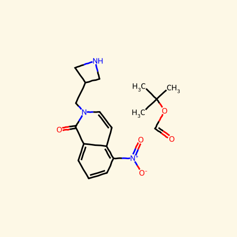 CC(C)(C)OC=O.O=c1c2cccc([N+](=O)[O-])c2ccn1CC1CNC1